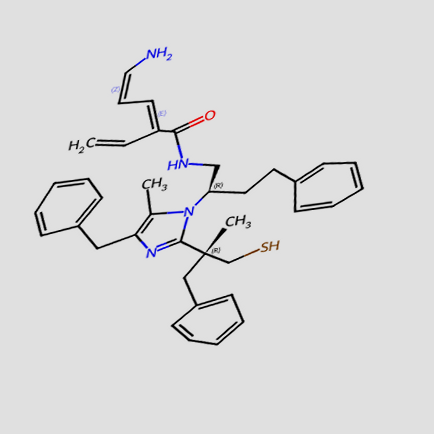 C=C/C(=C\C=C/N)C(=O)NC[C@@H](CCc1ccccc1)n1c([C@](C)(CS)Cc2ccccc2)nc(Cc2ccccc2)c1C